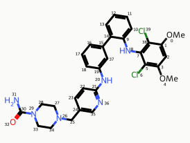 COc1cc(OC)c(Cl)c(Nc2ccccc2-c2cccc(Nc3ccc(CN4CCN(C(N)=O)CC4)cn3)c2)c1Cl